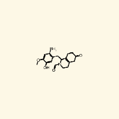 Bc1cc(OC)c(O)cc1CC1C2=C(CCN1C=O)CC(=O)CC2